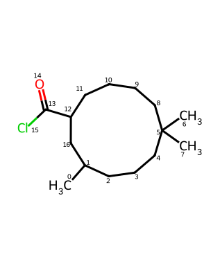 CC1CCCC(C)(C)CCCCC(C(=O)Cl)C1